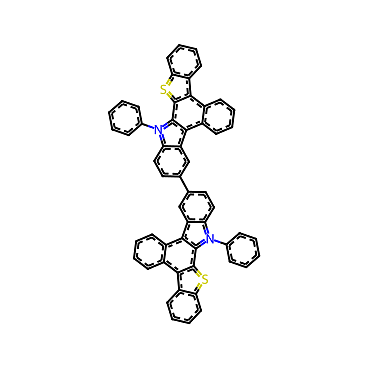 c1ccc(-n2c3ccc(-c4ccc5c(c4)c4c6ccccc6c6c7ccccc7sc6c4n5-c4ccccc4)cc3c3c4ccccc4c4c5ccccc5sc4c32)cc1